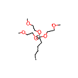 CCCCC[Si](OCCOC)(OCCOC)OCCOC